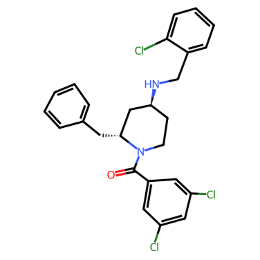 O=C(c1cc(Cl)cc(Cl)c1)N1CC[C@H](NCc2ccccc2Cl)C[C@H]1Cc1ccccc1